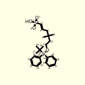 CC(C)(CC=CS(=O)(=O)O)CCO[Si](c1ccccc1)(c1ccccc1)C(C)(C)C